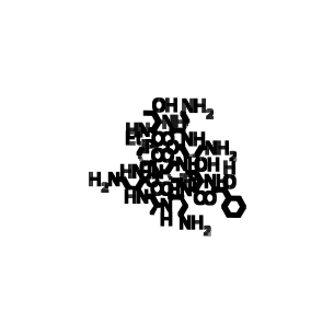 CCNC(=O)[C@@H](NC(=O)[C@H](CCN)NC(=O)[C@H](CCN)NC(=O)[C@H](CC(C)C)NC(=O)[C@@H](CC(C)C)NC(=O)[C@H](CCN)NC(=O)[C@H](C)NC(=O)[C@H](CCN)NC(=O)[C@@H](NC(=O)C(O)C1CCCCC1)C(C)O)C(C)O